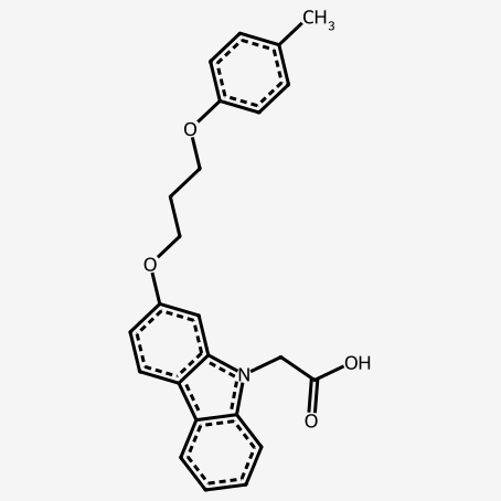 Cc1ccc(OCCCOc2ccc3c4ccccc4n(CC(=O)O)c3c2)cc1